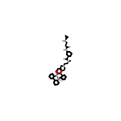 CN(CCN1CCC(OC(=O)N(c2ccccc2-c2ccccc2)N(C(=O)O)c2ccccc2-c2ccccc2)CC1)C(=O)c1cccc(NC(=O)CCNC2CC2)c1